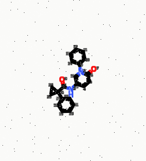 O=C(Nc1ccc(=O)n(-c2ccccc2)c1)C1(c2ccccc2)CC1